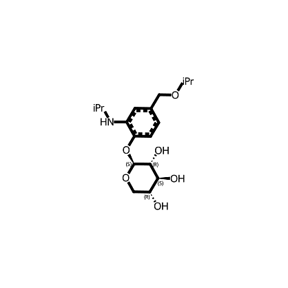 CC(C)Nc1cc(COC(C)C)ccc1O[C@@H]1OC[C@@H](O)[C@H](O)[C@H]1O